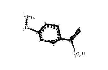 C=C(C(=O)O)c1ccc(OCCCCC)cc1